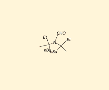 CCCCC(C)(CC)N(C=O)C(C)(CC)CCCC